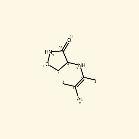 CC(=O)C(C)=C(C)NC1CONC1=O